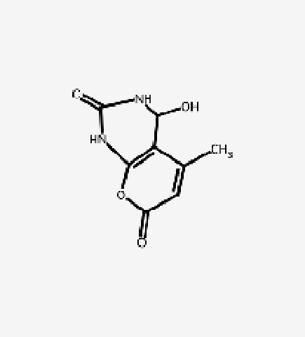 Cc1cc(=O)oc2c1C(O)NC(=O)N2